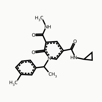 CNC(=O)c1cc(C(=O)NC2CC2)cn(C(C)c2cccc(C)c2)c1=O